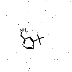 CC(C)(C)c1ccnc(CN)c1